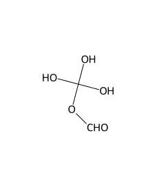 O=COC(O)(O)O